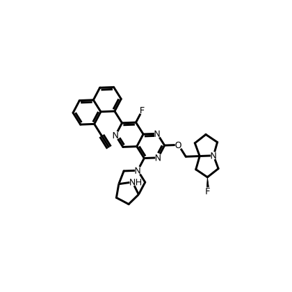 C#Cc1cccc2cccc(-c3ncc4c(N5CC6CCC(C5)N6)nc(OCC56CCCN5C[C@@H](F)C6)nc4c3F)c12